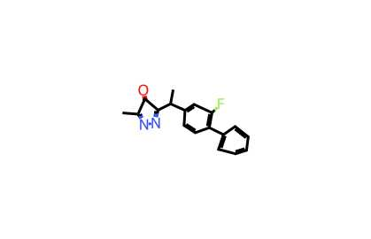 CC1=NN=C(C(C)c2ccc(-c3ccccc3)c(F)c2)C1=O